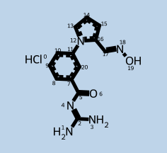 Cl.NC(N)=NC(=O)c1cccc(-n2cccc2C=NO)c1